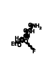 CCNC(=O)c1ccc(-n2cc(C(=O)NCCC(N)=O)nn2)c(OCCCCCCF)c1